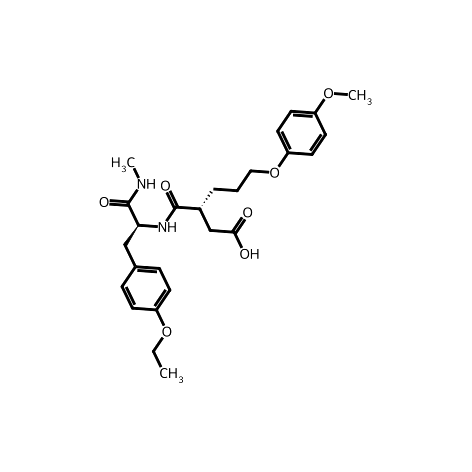 CCOc1ccc(C[C@H](NC(=O)[C@H](CCCOc2ccc(OC)cc2)CC(=O)O)C(=O)NC)cc1